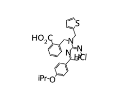 CC(C)Oc1ccc(-c2ccnc(N(Cc3cccs3)Cc3ccccc3C(=O)O)n2)cc1.Cl